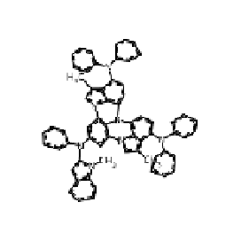 Cc1cn2c3c(ccc(N(c4ccccc4)c4ccccc4)c13)B1c3c-2cc(N(c2ccccc2)c2cc4ccccc4n2C)cc3-n2cc(C)c3c(N(c4ccccc4)c4ccccc4)ccc1c32